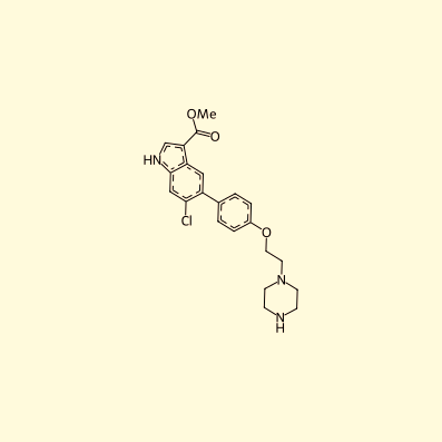 COC(=O)c1c[nH]c2cc(Cl)c(-c3ccc(OCCN4CCNCC4)cc3)cc12